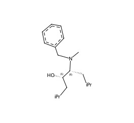 CC(C)C[C@H]([C@@H](O)CC(C)C)N(C)Cc1ccccc1